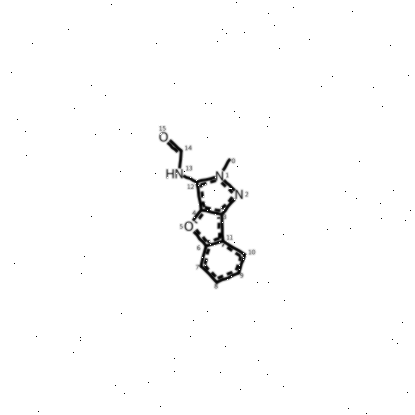 Cn1nc2c(oc3ccccc32)c1NC=O